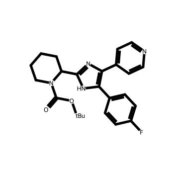 CC(C)(C)OC(=O)N1CCCCC1c1nc(-c2ccncc2)c(-c2ccc(F)cc2)[nH]1